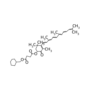 CC(C)=C/C=C/C=C(C)/C=C/C=C(C)/C=C/C1=C(C)C(=O)C(OC(=O)CCC(=O)OCC2CCCCC2)CC1(C)C